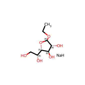 CCO[C@@H]1O[C@@H]([C@H](O)CO)[C@H](O)[C@H]1O.[NaH]